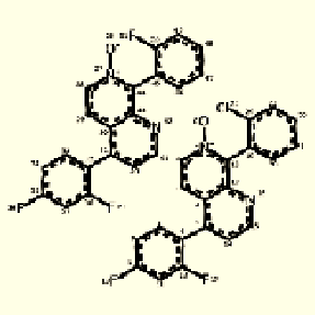 [O-][n+]1ccc2c(-c3ccc(F)cc3F)ccnc2c1-c1ccccc1Cl.[O-][n+]1ccc2c(-c3ccc(F)cc3F)ccnc2c1-c1ccccc1F